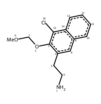 COCOc1c(CCN)cc2ccccc2c1Cl